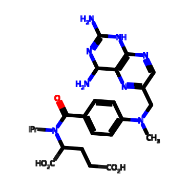 CC(C)N(C(=O)c1ccc(N(C)Cc2cnc3c(n2)C(N)N=C(N)N3)cc1)C(CCC(=O)O)C(=O)O